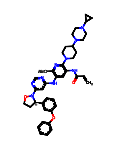 C=CC(=O)Nc1cc(Nc2cc(N3OCC[C@@H]3c3cccc(Oc4ccccc4)c3)ncn2)c(OC)nc1N1CCC(N2CCN(C3CC3)CC2)CC1